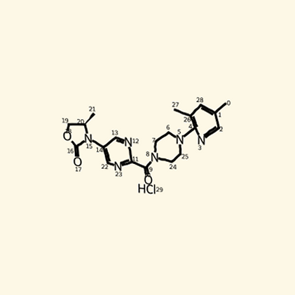 Cc1cnc(N2CCN(C(=O)c3ncc(N4C(=O)OC[C@H]4C)cn3)CC2)c(C)c1.Cl